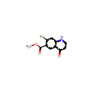 COC(=O)c1cc2c(=O)cc[nH]c2cc1Br